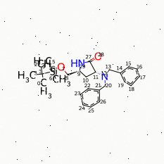 CC(C)(C)[Si](C)(C)OC[C@@H]1C[C@@H](N(Cc2ccccc2)Cc2ccccc2)C(=O)N1